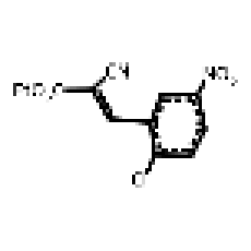 CCOC(=O)C(C#N)=Cc1cc([N+](=O)[O-])ccc1Cl